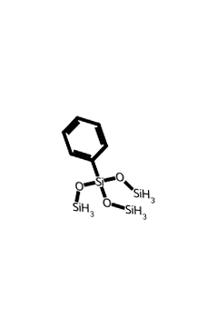 [SiH3]O[Si](O[SiH3])(O[SiH3])c1ccccc1